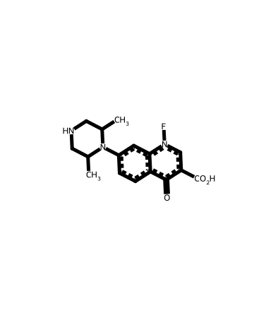 CC1CNCC(C)N1c1ccc2c(=O)c(C(=O)O)cn(F)c2c1